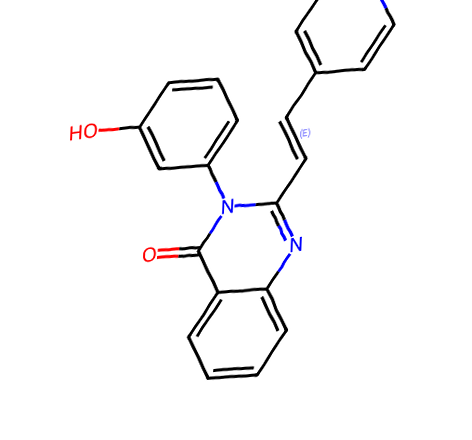 O=c1c2ccccc2nc(/C=C/c2ccncc2)n1-c1cccc(O)c1